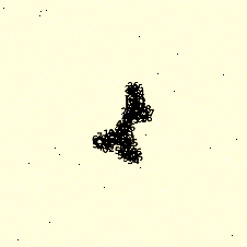 CC1(C)c2ccccc2-c2ccc(N(c3ccc(-c4ccc5c(c4)c4ccccc4c4oc(-c6ccccc6)nc54)cc3)c3ccc4c(c3)C(C)(C)c3ccccc3-4)cc21